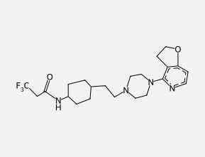 O=C(CC(F)(F)F)NC1CCC(CCN2CCN(c3nccc4c3CCO4)CC2)CC1